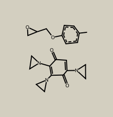 Cc1ccc(OCC2CO2)cc1.O=C1C=C(N2CC2)C(=O)C(N2CC2)=C1N1CC1